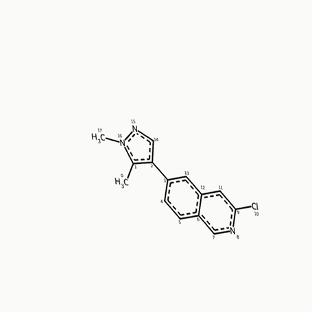 Cc1c(-c2ccc3cnc(Cl)cc3c2)cnn1C